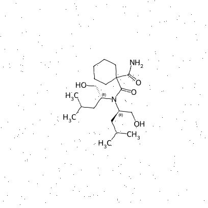 CC(C)C[C@H](CO)N(C(=O)C1(C(N)=O)CCCCC1)[C@@H](CO)CC(C)C